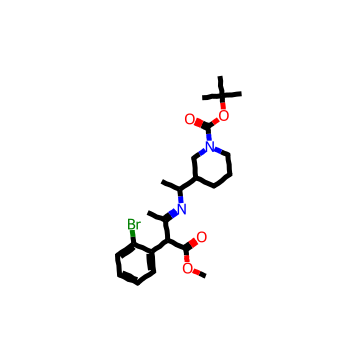 COC(=O)C(C(C)=NC(C)C1CCCN(C(=O)OC(C)(C)C)C1)c1ccccc1Br